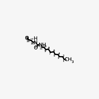 CCCCCCCCCCCCNC(=O)NCC[C]=O